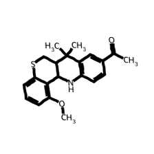 COc1cccc2c1C1Nc3ccc(C(C)=O)cc3C(C)(C)C1CS2